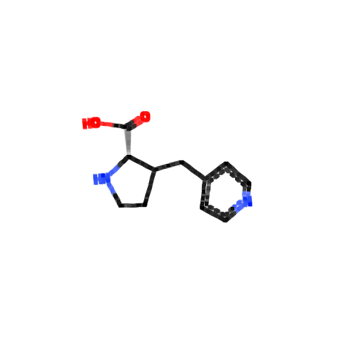 O=C(O)[C@H]1NCCC1Cc1ccncc1